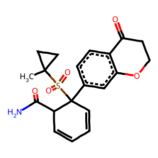 CC1(S(=O)(=O)C2(c3ccc4c(c3)OCCC4=O)C=CC=CC2C(N)=O)CC1